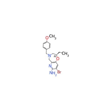 CC[C@@H]1CN(Cc2ccc(OC)cc2)Cc2nc(N)c(Br)cc2O1